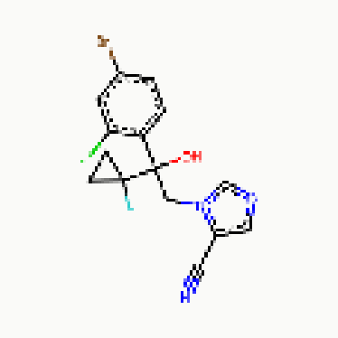 N#Cc1cncn1CC(O)(c1ccc(Br)cc1Cl)C1(F)CC1